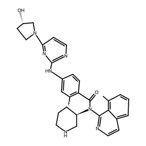 Cc1cccc2ccnc(N(C(=O)c3ccc(Nc4nccc(N5CC[C@H](O)C5)n4)cc3F)[C@@H]3CCCNC3)c12